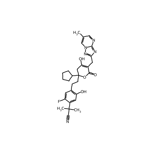 Cc1cnc2nc(CC3=C(O)CC(CCc4cc(F)c(C(C)(C)C#N)cc4O)(C4CCCC4)OC3=O)nn2c1